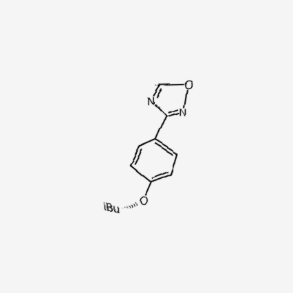 CC[C@@H](C)Oc1ccc(-c2n[c]on2)cc1